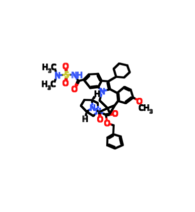 COc1ccc2c(c1)C1CC1(C(=O)N1[C@@H]3CC[C@H]1CN(C(=O)OCc1ccccc1)C3)Cn1c-2c(C2CCCCC2)c2ccc(C(=O)NS(=O)(=O)N(C)C)cc21